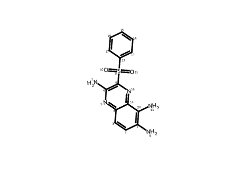 Nc1ccc2nc(N)c(S(=O)(=O)c3ccccc3)nc2c1N